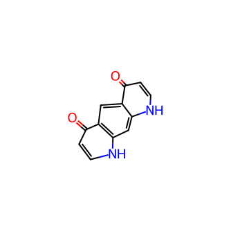 O=c1cc[nH]c2cc3[nH]ccc(=O)c3cc12